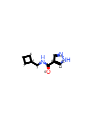 O=C(NCC1CCC1)c1cn[nH]c1